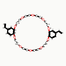 C=Cc1ccc2c(c1)OCCOCCOCCOCCOc1cc(C=C)ccc1OCCOCCOCCOCCO2